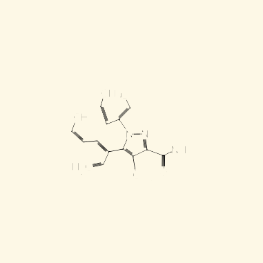 C=C/C(=C\C=C/C)c1c(C)c(C(N)=O)nn1C(/C=C\C)=C/C